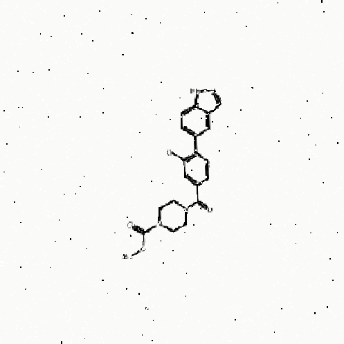 CC(C)(C)OC(=O)N1CCN(C(=O)c2ccc(-c3ccc4[nH]ccc4c3)c(Cl)c2)CC1